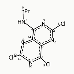 CCCNc1nc(Cl)nc2c(Cl)nc(Cl)nc12